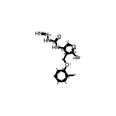 Cc1ccccc1OCc1c(NC(=O)NN=N)coc1Br